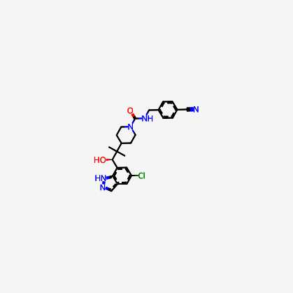 CC(C)(C1CCN(C(=O)NCc2ccc(C#N)cc2)CC1)[C@H](O)c1cc(Cl)cc2cn[nH]c12